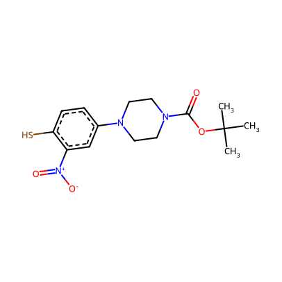 CC(C)(C)OC(=O)N1CCN(c2ccc(S)c([N+](=O)[O-])c2)CC1